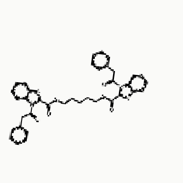 O=C(SCCCCCSC(=O)c1nc2ccccc2n1C(=O)Cc1ccccc1)c1nc2ccccc2n1C(=O)Cc1ccccc1